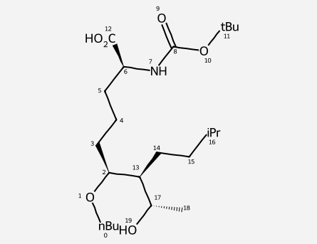 CCCCO[C@@H](CCC[C@H](NC(=O)OC(C)(C)C)C(=O)O)[C@@H](CCC(C)C)[C@H](C)O